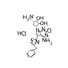 Cl.NC[C@H]1C[C@@H](n2cc(-c3nc(Cc4ccccc4)cs3)c3c(N)nc(Cl)nc32)[C@H](O)[C@@H]1O